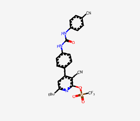 CC(C)(C)c1cc(-c2ccc(NC(=O)Nc3ccc(C#N)cc3)cc2)c(C#N)c(OS(=O)(=O)C(F)(F)F)n1